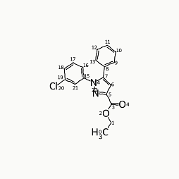 CCOC(=O)c1cc(-c2ccccc2)n(-c2cccc(Cl)c2)n1